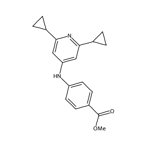 COC(=O)c1ccc(Nc2cc(C3CC3)nc(C3CC3)c2)cc1